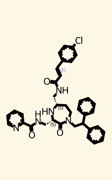 O=C(/C=C/c1ccc(Cl)cc1)NC[C@@H]1CCN(CC(c2ccccc2)c2ccccc2)C(=O)[C@H](CNC(=O)c2ccccn2)N1